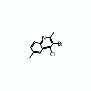 [CH2]c1ccc2nc(C)c(Br)c(Cl)c2c1